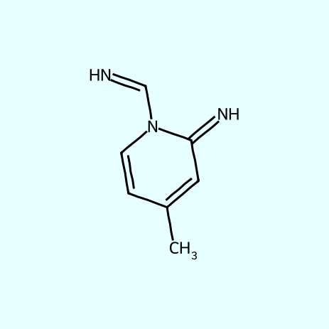 Cc1ccn(C=N)c(=N)c1